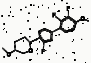 COc1ccc(-c2ccc(C3CCC(OC)CO3)c(F)c2)c(F)c1F